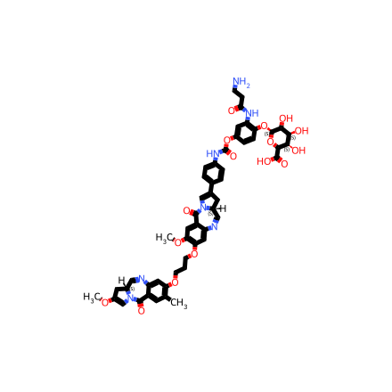 COC1=CN2C(=O)c3cc(C)c(OCCCOc4cc5c(cc4OC)C(=O)N4C=C(c6ccc(NC(=O)Oc7ccc(O[C@@H]8OC(C(=O)O)[C@@H](O)[C@H](O)C8O)c(NC(=O)CCN)c7)cc6)C[C@H]4C=N5)cc3N=C[C@@H]2C1